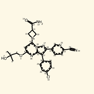 CC(C)(O)COc1cc(N2CC(C(N)=O)C2)n2nc(-c3ccc(C#N)nc3)c(-c3ccc(Cl)cc3)c2n1